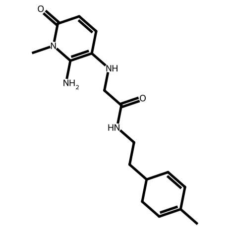 CC1=CCC(CCNC(=O)CNc2ccc(=O)n(C)c2N)C=C1